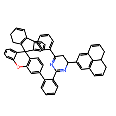 C1=CC2=C(CC1)C1(c3ccccc3Oc3cc(-c4ccccc4C4=NC(c5cc6c7c(c5)C=CCC7CC=C6)CC(c5ccccc5)=N4)ccc31)c1ccccc12